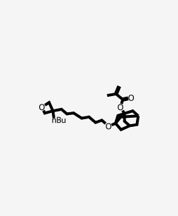 C=C(C)C(=O)OC12CC3CC(CC(OCCCCCCCC4(CCCC)COC4)(C3)C1)C2